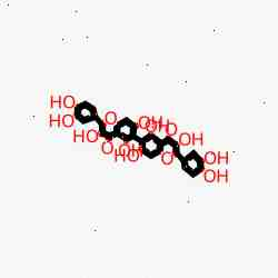 O=c1c(O)c(-c2ccc(O)c(O)c2)oc2cc(O)c(-c3c(O)cc4oc(-c5ccc(O)c(O)c5)c(O)c(=O)c4c3O)c(O)c12